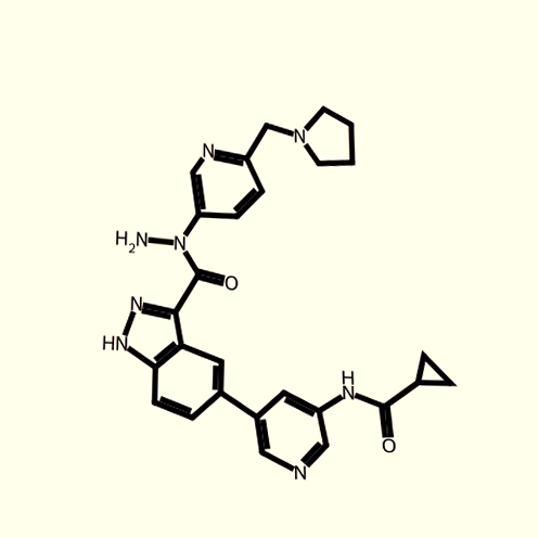 NN(C(=O)c1n[nH]c2ccc(-c3cncc(NC(=O)C4CC4)c3)cc12)c1ccc(CN2CCCC2)nc1